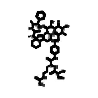 CC[C@@H](C)[C@H]([C@H](CC(=O)N1CCCCC1(OC)[C@H](C)C(=O)N[C@@H](C)[C@H](O)c1ccccc1)OC)N(C)C(=O)[C@@H](NC(=O)[C@@H](C(C)C)N(C)C(=O)OCc1ccc(NC(=O)[C@@H](CCCNC(N)=O)NC(=O)[C@H](NC)C(C)C)cc1)C(C)C